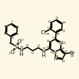 O=S(=O)(Cc1ccccc1)NCCCNc1cc(-c2ccccc2Cl)nc2c(Br)cnn12